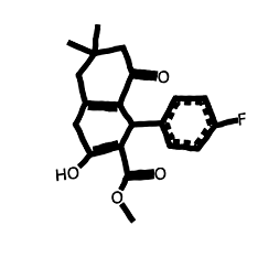 COC(=O)C1=C(O)CC2=C(C(=O)CC(C)(C)C2)C1c1ccc(F)cc1